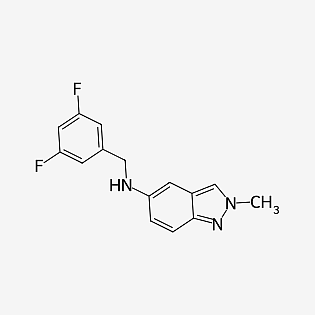 Cn1cc2cc(NCc3cc(F)cc(F)c3)ccc2n1